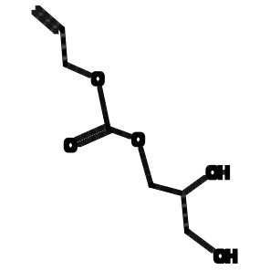 C=CCOC(=O)OCC(O)CO